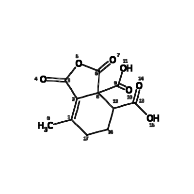 CC1=C2C(=O)OC(=O)C2(C(=O)O)C(C(=O)O)CC1